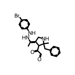 CC(NNc1ccc(Br)cc1)=C1CNC(C)(Cc2ccccc2)C1C(=O)C=O